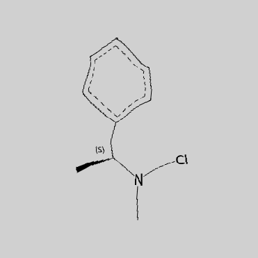 C[C@@H](c1ccccc1)N(C)Cl